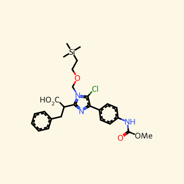 COC(=O)Nc1ccc(-c2nc(C(Cc3ccccc3)C(=O)O)n(COCC[Si](C)(C)C)c2Cl)cc1